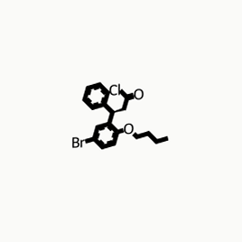 CCCCOc1ccc(Br)cc1[C@H](CC(=O)Cl)c1ccccc1